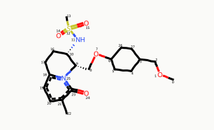 COCC1CCC(OC[C@H]2[C@@H](NS(C)(=O)=O)CCc3ccc(C)c(=O)n32)CC1